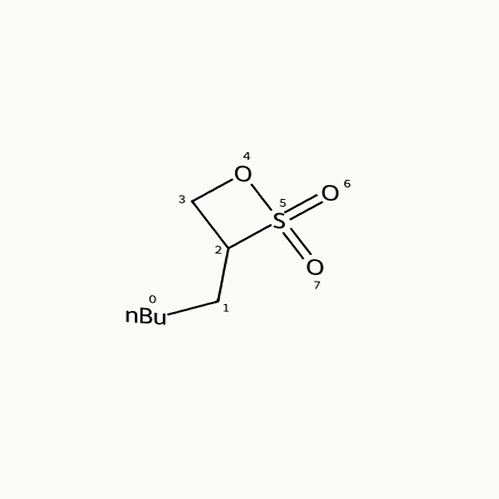 CCCCCC1COS1(=O)=O